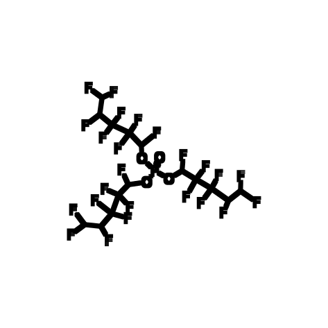 O=P(OC(F)C(F)(F)C(F)(F)C(F)C(F)F)(OC(F)C(F)(F)C(F)(F)C(F)C(F)F)OC(F)C(F)(F)C(F)(F)C(F)C(F)F